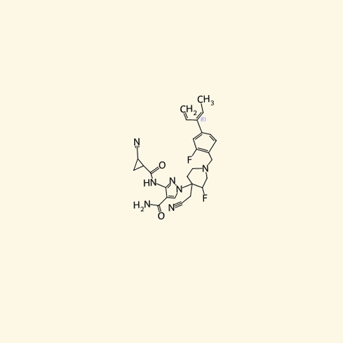 C=C/C(=C\C)c1ccc(CN2CCC(CC#N)(n3cc(C(N)=O)c(NC(=O)C4CC4C#N)n3)C(F)C2)c(F)c1